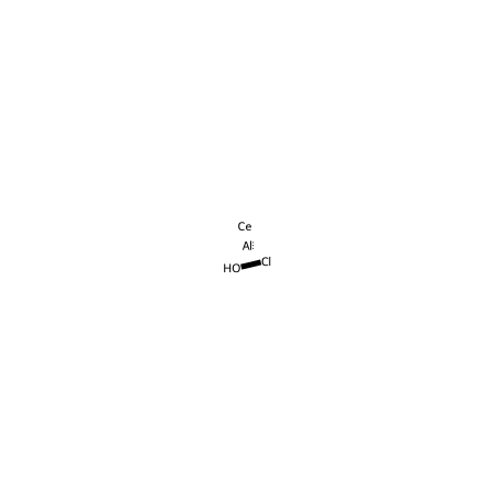 OCl.[Al].[Ce]